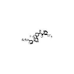 CC(=O)Nc1cc(-c2cncc(-c3cc(NC(=O)c4cc(C(F)(F)F)ccn4)ccc3C)n2)ccn1